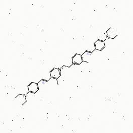 CCN(CC)c1ccc(/C=C/c2cc[n+](CC[n+]3ccc(/C=C/c4ccc(N(CC)CC)cc4)c(C)c3)cc2C)cc1